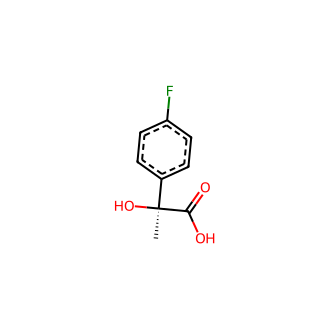 C[C@@](O)(C(=O)O)c1ccc(F)cc1